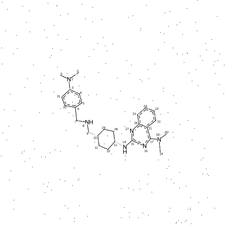 CN(C)c1ccc(CNC[C@H]2CC[C@@H](Nc3nc(N(C)C)c4ccccc4n3)CC2)cc1